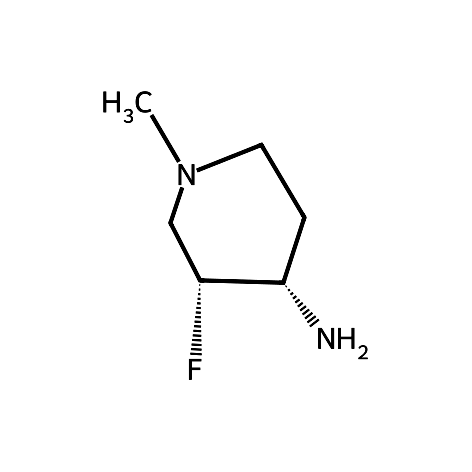 CN1CC[C@H](N)[C@H](F)C1